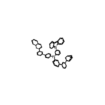 C1=CC2=CC=C(c3cccc(-c4ccc(N(c5cccc(-c6cccc(-c7ccccc7)c6)c5)c5cccc(-n6c7ccccc7c7ccccc76)c5)cc4)c3)CC2C=C1